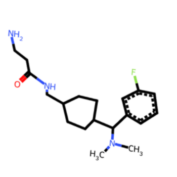 CN(C)C(c1cccc(F)c1)C1CCC(CNC(=O)CCN)CC1